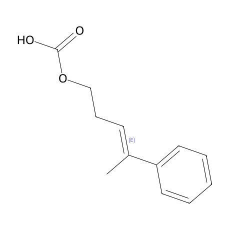 C/C(=C\CCOC(=O)O)c1ccccc1